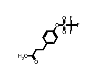 CC(=O)CCc1ccc(OS(=O)(=O)C(F)(F)F)cc1